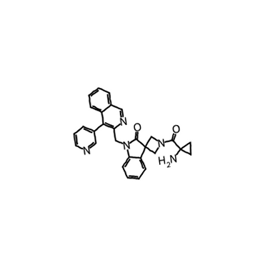 NC1(C(=O)N2CC3(C2)C(=O)N(Cc2ncc4ccccc4c2-c2cccnc2)c2ccccc23)CC1